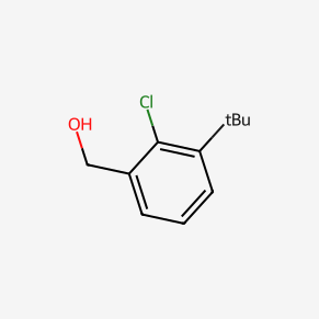 CC(C)(C)c1cccc(CO)c1Cl